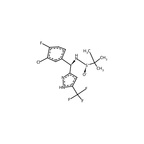 CC(C)(C)[S@@+]([O-])N[C@H](c1ccc(F)c(Cl)c1)c1cc(C(F)(F)F)[nH]n1